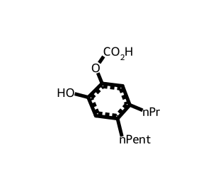 CCCCCc1cc(O)c(OC(=O)O)cc1CCC